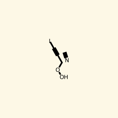 OOCC#CI.[C]#N